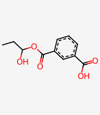 CCC(O)OC(=O)c1cccc(C(=O)O)c1